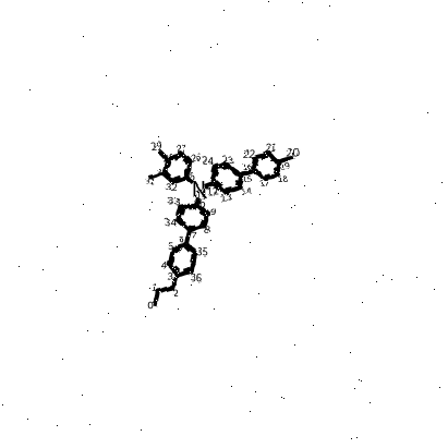 CCCc1ccc(-c2ccc(N(c3ccc(-c4ccc(C)cc4)cc3)c3ccc(C)c(C)c3)cc2)cc1